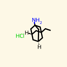 CCC12C[C@@H]3C[C@@H](CC(N)(C3)C1)C2.Cl